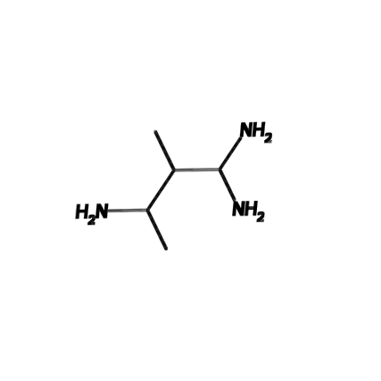 CC(N)C(C)C(N)N